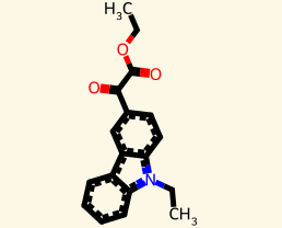 CCOC(=O)C(=O)c1ccc2c(c1)c1ccccc1n2CC